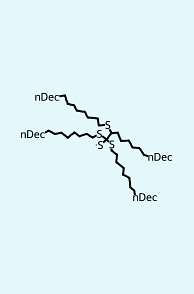 CCCCCCCCCCCCCCCCCCSC(CCCCCCCCCCCCCCCC)C([S])(SCCCCCCCCCCCCCCCCCC)SCCCCCCCCCCCCCCCCCC